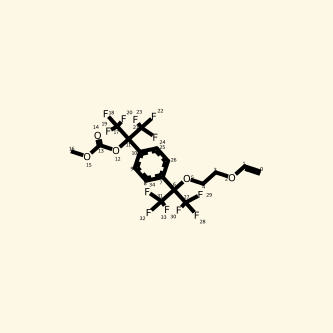 C=COCCOC(c1ccc(C(OC(=O)OC)(C(F)(F)F)C(F)(F)F)cc1)(C(F)(F)F)C(F)(F)F